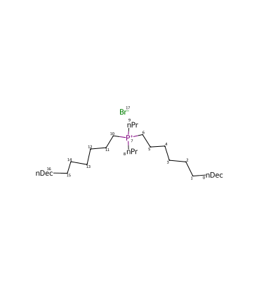 CCCCCCCCCCCCCCCC[P+](CCC)(CCC)CCCCCCCCCCCCCCCC.[Br-]